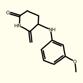 C=C1NC(=O)CCC1Nc1cccc(OC)c1